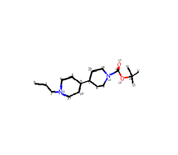 CCCN1CCC(C2CCN(C(=O)OC(C)(C)C)CC2)CC1